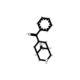 O=C(c1ccccc1)C1CC2COCC(C1)C2=O